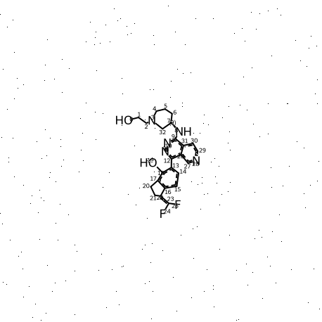 OCCN1CCC[C@@H](Nc2nnc(-c3ccc4c(c3O)CCC4=C(F)F)c3cnccc23)C1